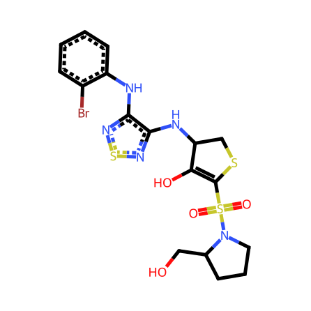 O=S(=O)(C1=C(O)C(Nc2nsnc2Nc2ccccc2Br)CS1)N1CCCC1CO